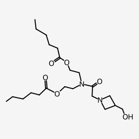 CCCCCC(=O)OCCN(CCOC(=O)CCCCC)C(=O)CN1CC(CO)C1